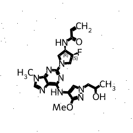 C=CC(=O)N[C@@H]1CN(c2nc(Nc3cn(CC(C)O)nc3OC)c3ncn(C)c3n2)C[C@@H]1F